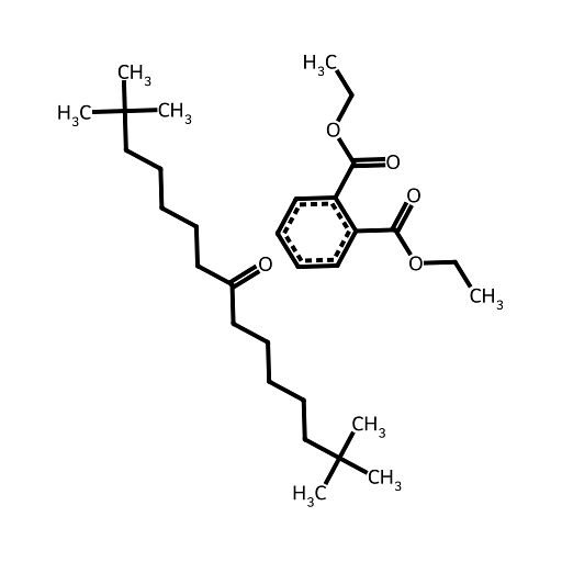 CC(C)(C)CCCCCC(=O)CCCCCC(C)(C)C.CCOC(=O)c1ccccc1C(=O)OCC